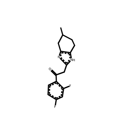 CC1CCc2[nH]c(CC(=O)c3ccc(F)cc3F)nc2C1